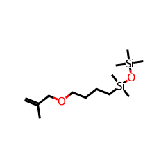 C=C(C)COCCCC[Si](C)(C)O[Si](C)(C)C